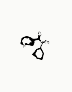 CCN(C(=O)c1cccnc1)C1CCCCC1